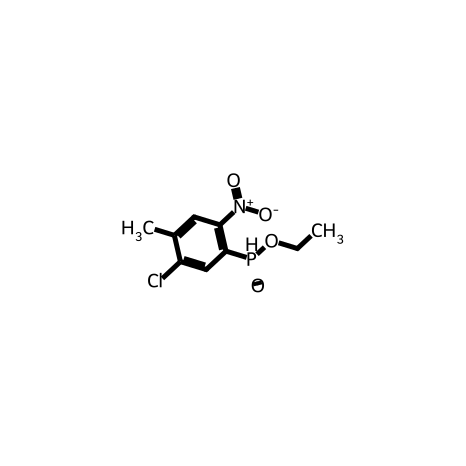 CCO[PH](=O)c1cc(Cl)c(C)cc1[N+](=O)[O-]